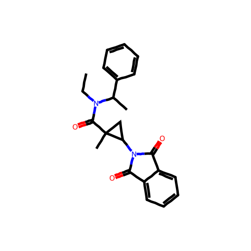 CCN(C(=O)C1(C)CC1N1C(=O)c2ccccc2C1=O)C(C)c1ccccc1